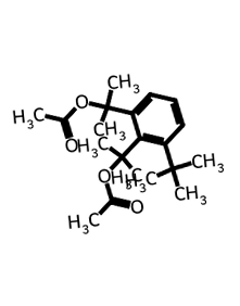 CC(=O)OC(C)(C)c1cccc(C(C)(C)C)c1C(C)(C)OC(C)=O